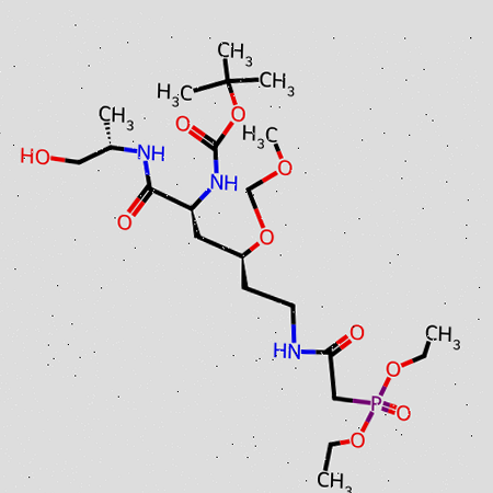 CCOP(=O)(CC(=O)NCC[C@@H](C[C@H](NC(=O)OC(C)(C)C)C(=O)N[C@@H](C)CO)OCOC)OCC